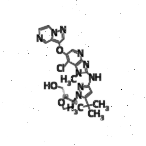 Cn1c(Nc2cc(C(C)(C)C)n([C@H]3CCO[C@@H]3CO)n2)nc2ncc(Oc3cnn4ccncc34)c(Cl)c21